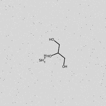 F.OCC(O)CO.[SiH4]